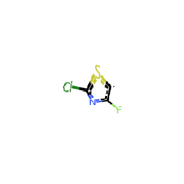 Fc1[c]sc(Cl)n1